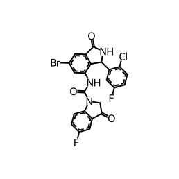 O=C1CN(C(=O)Nc2cc(Br)cc3c2C(c2cc(F)ccc2Cl)NC3=O)c2ccc(F)cc21